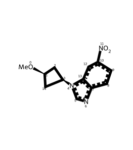 CO[C@H]1C[C@@H](n2cnc3ccc([N+](=O)[O-])cc32)C1